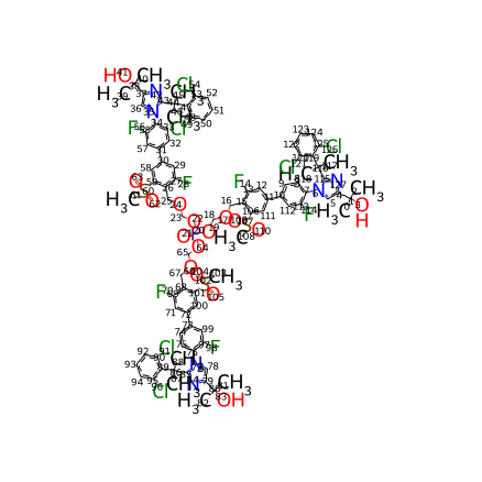 CC(C)(O)c1cn(-c2ccc(-c3cc(F)c(COCOP(=O)(OCOCc4c(F)cc(-c5ccc(-n6cc(C(C)(C)O)nc6C(C)(C)c6c(Cl)cccc6Cl)c(F)c5)cc4S(C)(=O)=O)OCOCc4c(F)cc(-c5ccc(-n6cc(C(C)(C)O)nc6C(C)(C)c6c(Cl)cccc6Cl)c(F)c5)cc4S(C)(=O)=O)c(S(C)(=O)=O)c3)cc2F)c(C(C)(C)c2c(Cl)cccc2Cl)n1